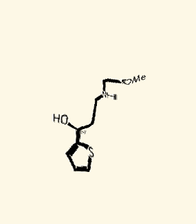 COCNCC[C@H](O)c1cccs1